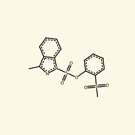 Cc1nn(S(=O)(=O)Oc2ccccc2S(C)(=O)=O)c2cc[c]cc12